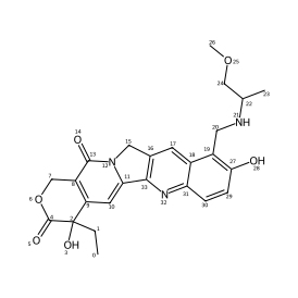 CCC1(O)C(=O)OCc2c1cc1n(c2=O)Cc2cc3c(CNC(C)COC)c(O)ccc3nc2-1